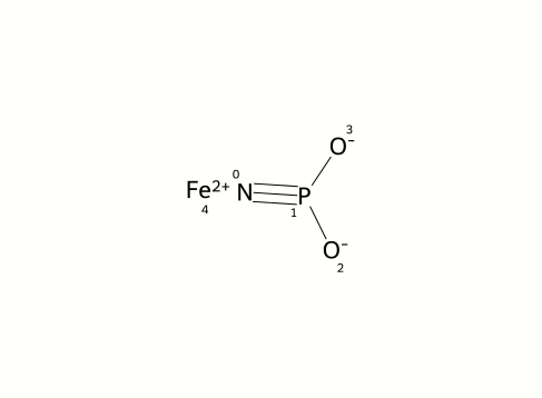 N#P([O-])[O-].[Fe+2]